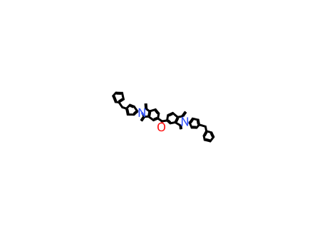 C=c1c2ccc(C(=O)c3ccc4c(=C)n(-c5ccc(Cc6ccccc6)cc5)c(=C)c4c3)cc2c(=C)n1-c1ccc(Cc2ccccc2)cc1